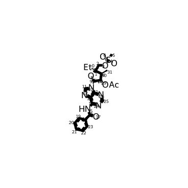 CC[C@@]1(COS(C)(=O)=O)O[C@@H](n2cnc3c(NC(=O)c4ccccc4)ncnc32)[C@@H](OC(C)=O)[C@@H]1C